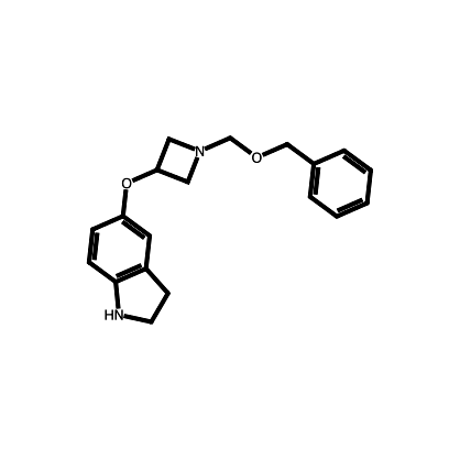 c1ccc(COCN2CC(Oc3ccc4c(c3)CCN4)C2)cc1